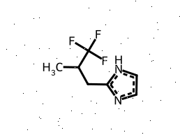 CC(Cc1ncc[nH]1)C(F)(F)F